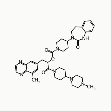 Cc1cc(CC(OC(=O)N2CCC(N3CCc4ccccc4NC3=O)CC2)C(=O)N2CCC(N3CCN(C)CC3)CC2)cc2nccnc12